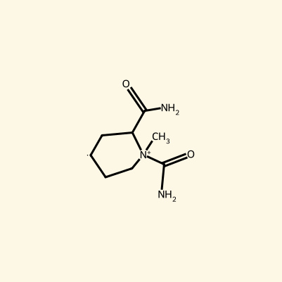 C[N+]1(C(N)=O)CC[CH]CC1C(N)=O